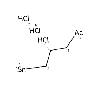 CC(=O)CC[CH2][Sn].Cl.Cl.Cl